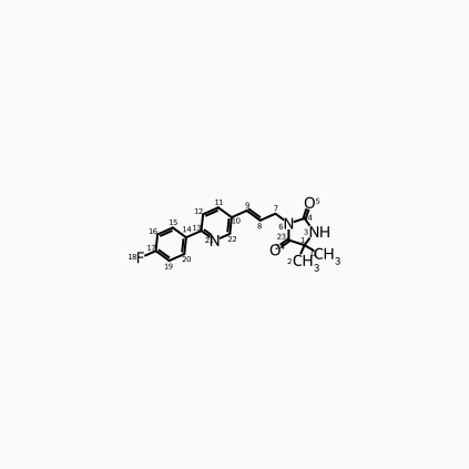 CC1(C)NC(=O)N(C/C=C/c2ccc(-c3ccc(F)cc3)nc2)C1=O